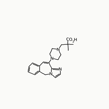 CC(C)(CN1CCN(C2=Cc3ccccc3Cn3ccnc32)CC1)C(=O)O